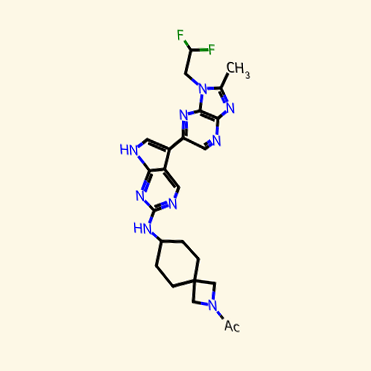 CC(=O)N1CC2(CCC(Nc3ncc4c(-c5cnc6nc(C)n(CC(F)F)c6n5)c[nH]c4n3)CC2)C1